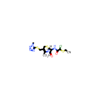 Cn1nnnc1SCC1=C(C(=O)O)N2C(=O)C(NC(=O)C(Cl)SCC#N)[C@@H]2SC1